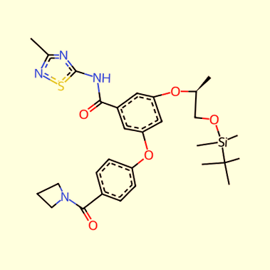 Cc1nsc(NC(=O)c2cc(Oc3ccc(C(=O)N4CCC4)cc3)cc(O[C@@H](C)CO[Si](C)(C)C(C)(C)C)c2)n1